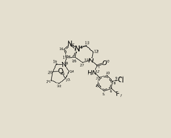 O=C(Nc1ccc(F)c(Cl)c1)N1CCn2ncc(N3CC4CCC(C3)O4)c2C1